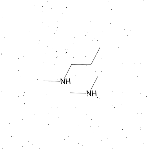 CCCNC.CNC